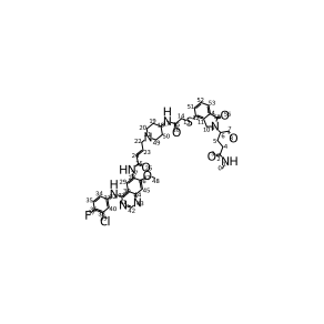 CNC(=O)CCC(C=O)N1Cc2c(SCC(=O)NC3CCN(C/C=C/C(=O)Nc4cc5c(Nc6ccc(F)c(Cl)c6)ncnc5cc4OC)CC3)cccc2C1=O